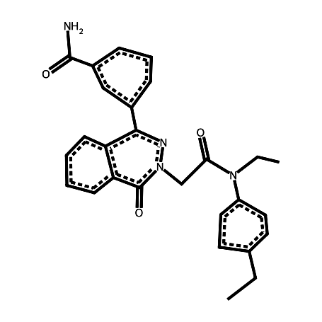 CCc1ccc(N(CC)C(=O)Cn2nc(-c3cccc(C(N)=O)c3)c3ccccc3c2=O)cc1